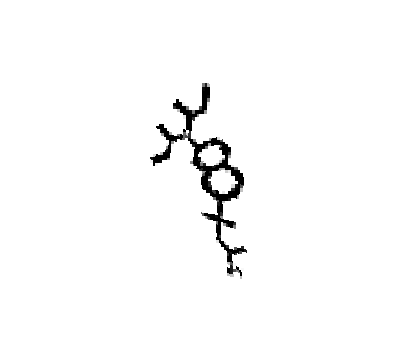 C=CC(=C)N(C(=C)C=C)c1ccc2ccc(C(C)(C)CC(C)C(C)C)cc2c1